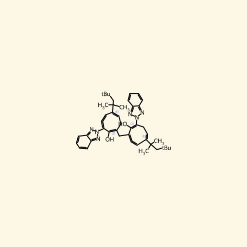 CC(C)(C)CC(C)(C)/C1=C/C/C(CC2=C=C/C(C(C)(C)CC(C)(C)C)=C\C/C(n3nc4ccccc4n3)=C\2O)=C(/O)C(n2nc3ccccc3n2)=C=C1